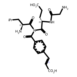 CC(C)C[C@H](N)C(=O)N(C(=O)c1ccc(/C=C/C(=O)O)cc1)C(=O)[C@H](CCC(=O)O)NC(=O)CN